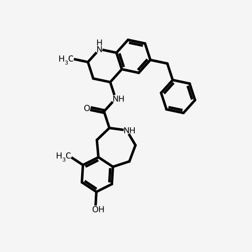 Cc1cc(O)cc2c1CC(C(=O)NC1CC(C)Nc3ccc(Cc4ccccc4)cc31)NCC2